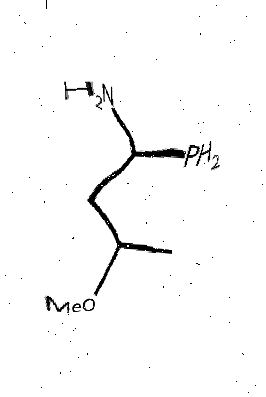 COC(C)CC(N)P